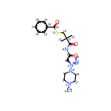 CCN1CCN([n+]2cc([N-]C(=O)C(C)(C)CSC(=O)c3ccccc3)on2)CC1